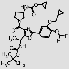 C[C@H](NC(=O)OC(C)(C)C)c1oc(-c2ccc(OC(F)F)c(OCC3CC3)c2)nc1C(=O)N1CC[C@@H](NC(=O)OC2CC2)C1